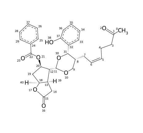 CC(=O)CC/C=C\C[C@@H]1CO[C@H](C2[C@H]3CC(=O)O[C@H]3C[C@H]2OC(=O)c2ccccc2)O[C@@H]1c1ccccc1O